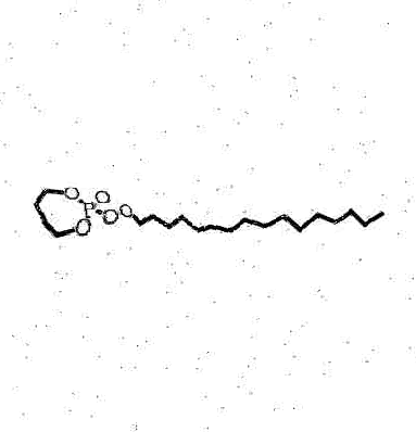 CCCCCCCCCCCCCCCCOOP1(=O)OCCCCO1